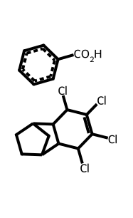 ClC1=C(Cl)C(Cl)C2C3CCC(C3)C2C1Cl.O=C(O)c1ccccc1